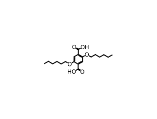 CCCCCCOc1cc(C(=O)O)c(OCCCCCC)cc1C(=O)O